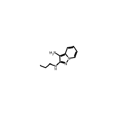 CCCNc1nn2ccccc2c1N